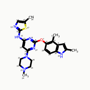 Cc1cc2c(C)c(Oc3nc(Nc4ncc(C#N)s4)cc(N4CCN(C)CC4)n3)ccc2[nH]1